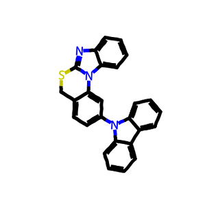 c1ccc2c(c1)nc1n2-c2cc(-n3c4ccccc4c4ccccc43)ccc2CS1